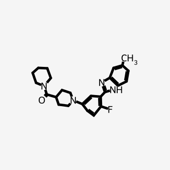 Cc1ccc2[nH]c(-c3cc(N4CCC(C(=O)N5CCCCC5)CC4)ccc3F)nc2c1